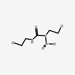 O=C(NCCCl)N(CCCl)[N+](=O)[O-]